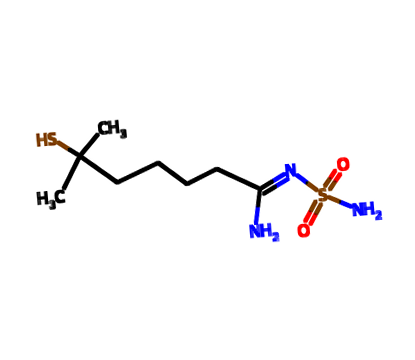 CC(C)(S)CCCC/C(N)=N/S(N)(=O)=O